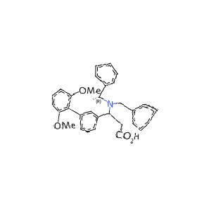 COc1cccc(OC)c1-c1cccc(C(CC(=O)O)N(Cc2ccccc2)[C@H](C)c2ccccc2)c1